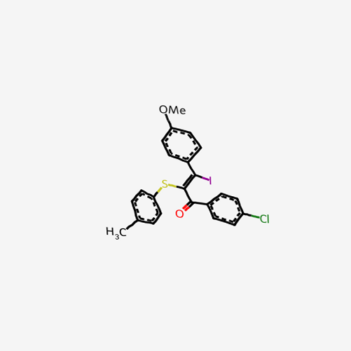 COc1ccc(C(I)=C(Sc2ccc(C)cc2)C(=O)c2ccc(Cl)cc2)cc1